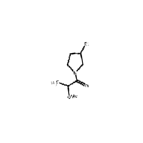 CCC1CCN(C(=O)C(C)OC)C1